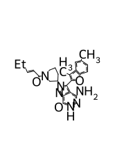 CCC=CC(=O)N1CCCC(n2nc3c(=O)[nH]nc(N)c3c2-c2oc3ccc(C)cc3c2C)C1